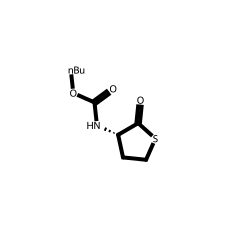 CCCCOC(=O)N[C@H]1CCSC1=O